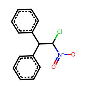 O=[N+]([O-])C(Cl)C(c1ccccc1)c1ccccc1